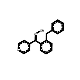 ON=C(c1ccncc1)c1ccccc1Cc1ccccc1